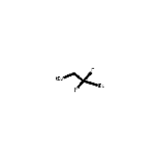 CCC(C)C(F)(F)CC(C)(C)C